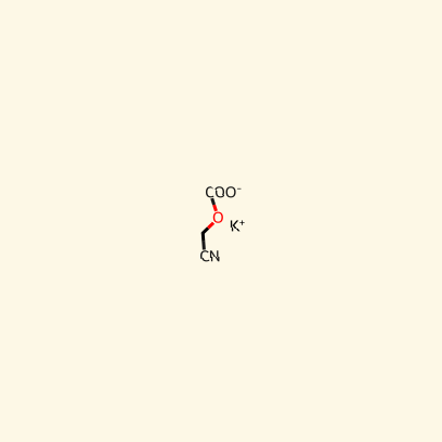 N#CCOC(=O)[O-].[K+]